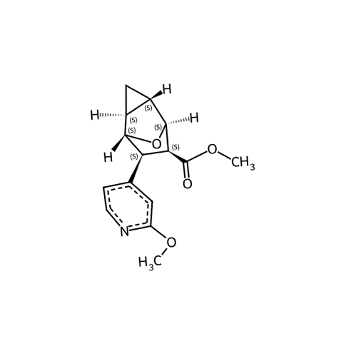 COC(=O)[C@@H]1[C@H]2O[C@@H]([C@H]3C[C@@H]32)[C@@H]1c1ccnc(OC)c1